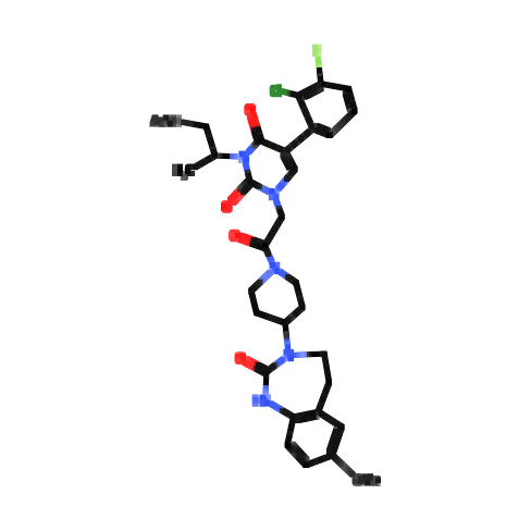 COc1ccc2c(c1)CCN(C1CCN(C(=O)Cn3cc(-c4cccc(F)c4Cl)c(=O)n(C(C)CNC(C)=O)c3=O)CC1)C(=O)N2